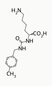 Cc1ccc(CNC(=O)N[C@@H](CCCCN)C(=O)O)cc1